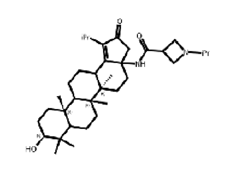 CC(C)C1=C2C3CCC4[C@@]5(C)CC[C@H](O)C(C)(C)C5CC[C@@]4(C)[C@]3(C)CCC2(NC(=O)C2CN(C(C)C)C2)CC1=O